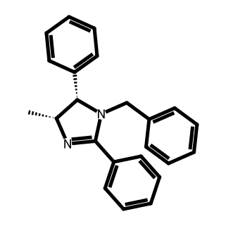 C[C@H]1N=C(c2ccccc2)N(Cc2ccccc2)[C@H]1c1ccccc1